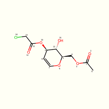 CC(=O)OC[C@H]1OC=C[C@@H](OC(=O)CCl)[C@@H]1O